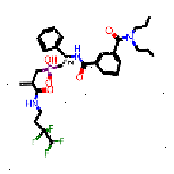 CCCN(CCC)C(=O)c1cccc(C(=O)N[C@H](CP(=O)(O)CC(C)C(=O)NCCC(F)(F)C(F)F)c2ccccc2)c1